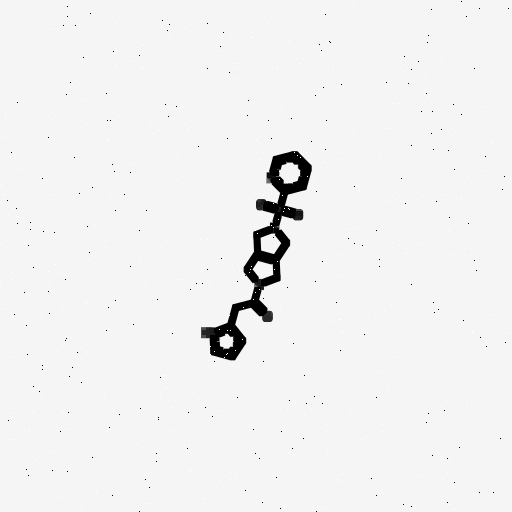 O=C(Cc1ccc[nH]1)N1CC2=C(C1)CN(S(=O)(=O)c1ccccn1)C2